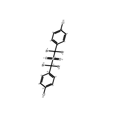 O=S(=O)(C(Br)(Br)c1ccc(Cl)cc1)C(Br)(Br)c1ccc(Cl)cc1